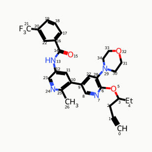 C#CCC(CC)Oc1ncc(-c2cc(NC(=O)c3cccc(C(F)(F)F)c3)cnc2C)cc1N1CCOCC1